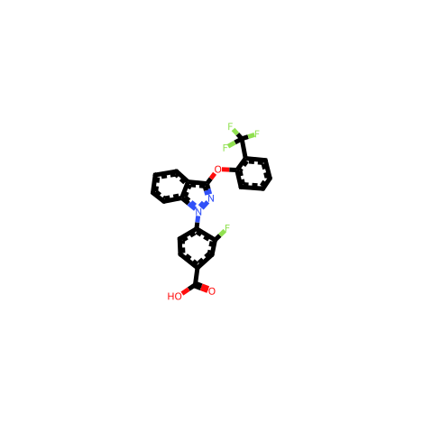 O=C(O)c1ccc(-n2nc(Oc3ccccc3C(F)(F)F)c3ccccc32)c(F)c1